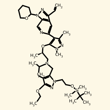 C=Cc1nn(C2CCCCO2)c2cnc(-c3c(C)nn(C)c3O[C@H](C)CN(Cc3c(I)c(OCC)nn3CCO[Si](C)(C)C(C)(C)C)C(C)C)cc12